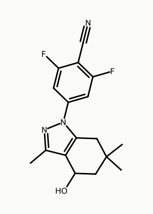 Cc1nn(-c2cc(F)c(C#N)c(F)c2)c2c1C(O)CC(C)(C)C2